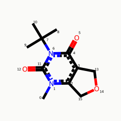 Cn1c2c(c(=O)n(C(C)(C)C)c1=O)COC2